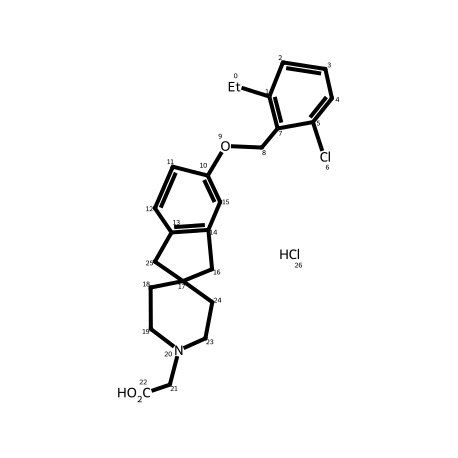 CCc1cccc(Cl)c1COc1ccc2c(c1)CC1(CCN(CC(=O)O)CC1)C2.Cl